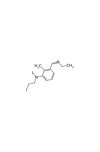 CC/N=C\c1cccc(N(I)CCI)c1C